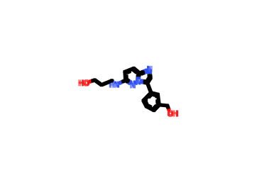 OCCCNc1ccc2ncc(-c3cccc(CO)c3)n2n1